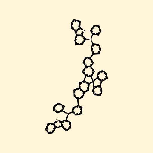 c1ccc(N(c2cccc(-c3ccc4cc5c(cc4c3)C3(c4ccccc4-c4ccccc43)c3cc4cc(-c6cccc(N(c7ccccc7)c7cccc8c7sc7ccccc78)c6)ccc4cc3-5)c2)c2cccc3c2sc2ccccc23)cc1